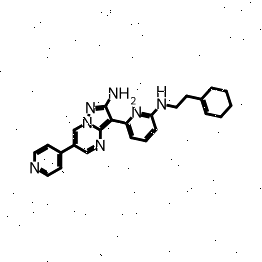 Nc1nn2cc(-c3ccncc3)cnc2c1-c1cccc(NCCC2=CCCCC2)n1